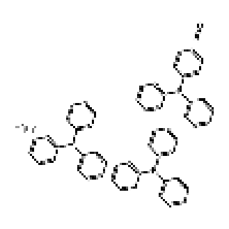 [C]=O.[H-].[Rh+].c1ccc(P(c2ccccc2)c2ccccc2)cc1.c1ccc(P(c2ccccc2)c2ccccc2)cc1.c1ccc(P(c2ccccc2)c2ccccc2)cc1